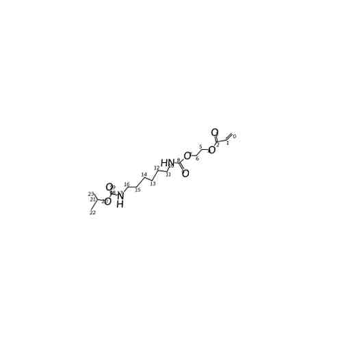 C=CC(=O)OCCOC(=O)NCCCCCCNC(=O)OC(C)C